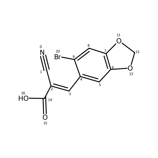 N#C/C(=C\c1cc2c(cc1Br)OCO2)C(=O)O